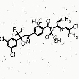 C=C/C(=N\C=C(/C)Cl)N(C(=O)OC)C(=O)c1ccc(C2=NOC(c3cc(Cl)cc(Cl)c3)(C(F)(F)F)C2)cc1C